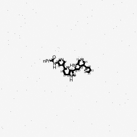 CCCC(=O)Nc1cncc(-c2ccc3[nH]nc(-c4cc5c(-c6cccs6)cncc5[nH]4)c3n2)c1